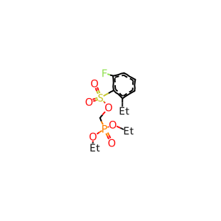 CCOP(=O)(COS(=O)(=O)c1c(F)cccc1CC)OCC